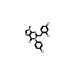 Cn1cnc2c(=O)n(-c3ccc(Cl)cc3)c(Cc3ccc(Cl)cc3Cl)nc21